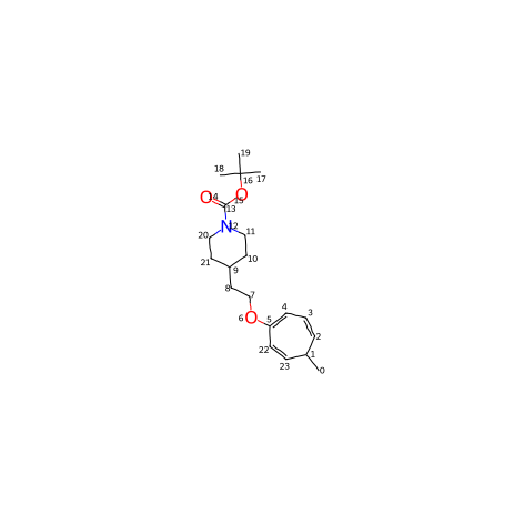 CC1C=CC=C(OCCC2CCN(C(=O)OC(C)(C)C)CC2)C=C1